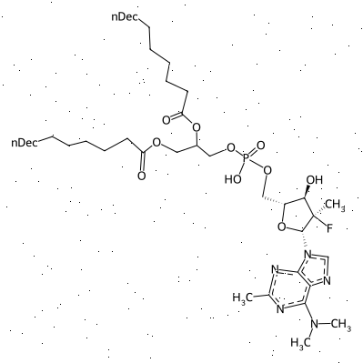 CCCCCCCCCCCCCCCC(=O)OCC(COP(=O)(O)OC[C@H]1O[C@@H](n2cnc3c(N(C)C)nc(C)nc32)[C@](C)(F)[C@@H]1O)OC(=O)CCCCCCCCCCCCCCC